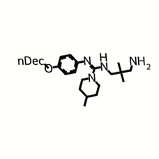 CCCCCCCCCCOc1ccc(/N=C(/NCC(C)(C)CN)N2CCC(C)CC2)cc1